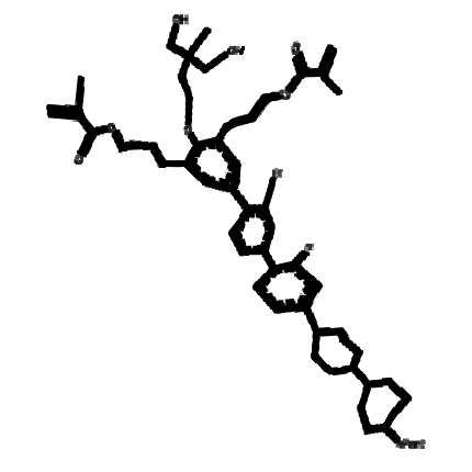 C=C(C)C(=O)OCCCc1cc(-c2ccc(-c3ccc(C4CCC(C5CCC(CCCCC)CC5)CC4)cc3F)cc2CC)cc(CCCOC(=O)C(=C)C)c1OCCC(C)(CO)CO